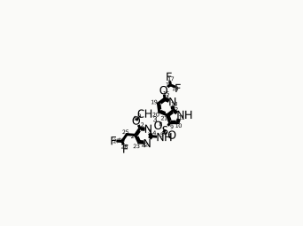 COc1nc(NS(=O)(=O)c2c[nH]c3nc(OC(F)F)ccc23)ncc1CC(F)F